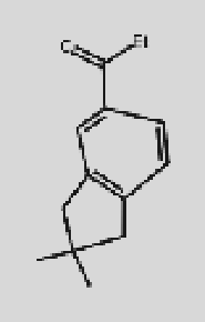 CCC(=O)c1ccc2c(c1)CC(C)(C)C2